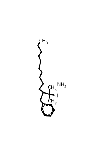 CCCCCCCCCCC(Cc1ccccc1)C(C)(C)Cl.N